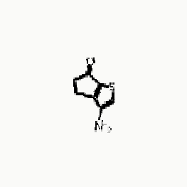 Nc1csc2c1CCC2=O